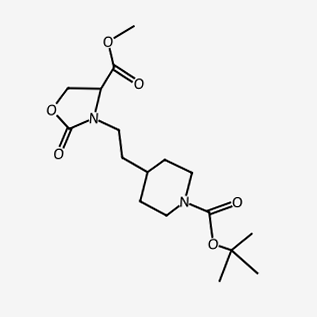 COC(=O)C1COC(=O)N1CCC1CCN(C(=O)OC(C)(C)C)CC1